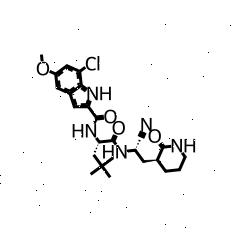 COc1cc(Cl)c2[nH]c(C(=O)N[C@@H](CC(C)(C)C)C(=O)N[C@H](C#N)C[C@@H]3CCCNC3=O)cc2c1